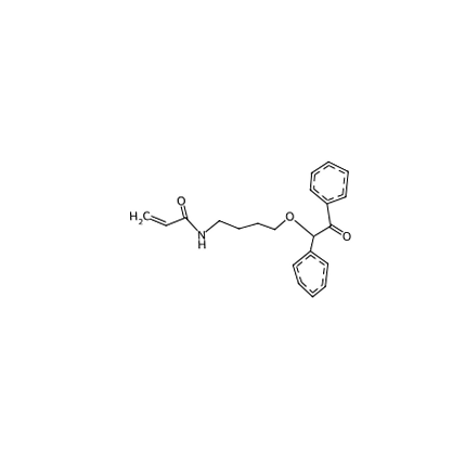 C=CC(=O)NCCCCOC(C(=O)c1ccccc1)c1ccccc1